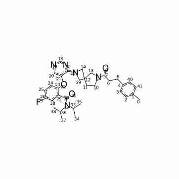 Cc1ccc(CCC(=O)N2CCC3(C2)CN(c2ncncc2Oc2ccc(F)cc2C(=O)N(C(C)C)C(C)C)C3)cc1